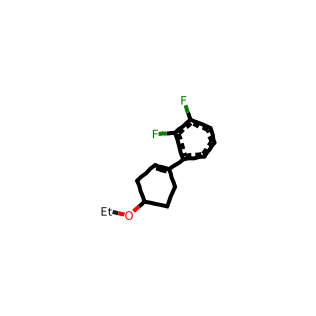 CCOC1CC=C(c2cccc(F)c2F)CC1